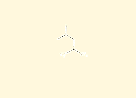 CC(C)CC(P)P